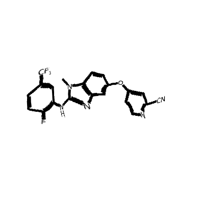 Cn1c(Nc2cc(C(F)(F)F)ccc2F)nc2cc(Oc3ccnc(C#N)c3)ccc21